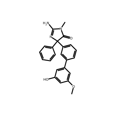 COc1cc(O)cc(-c2cccc(C3(c4ccccc4)N=C(N)N(C)C3=O)c2)c1